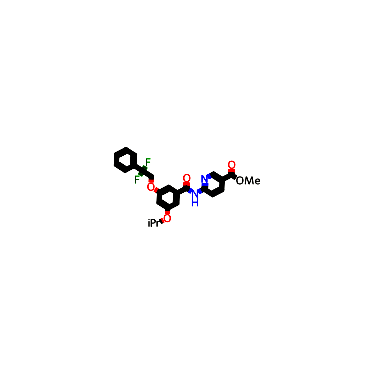 COC(=O)c1ccc(NC(=O)c2cc(OCC(F)(F)c3ccccc3)cc(OC(C)C)c2)nc1